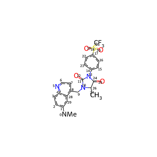 CNc1ccc2nccc(CN3C(=O)N(c4ccc(S(=O)(=O)C(F)(F)F)cc4)C(=O)C3C)c2c1